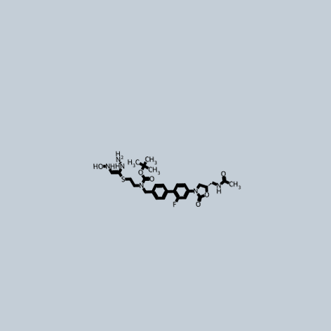 CC(=O)NC[C@H]1CN(c2ccc(-c3ccc(CN(CCS/C(=C/NO)NN)C(=O)OC(C)(C)C)cc3)c(F)c2)C(=O)O1